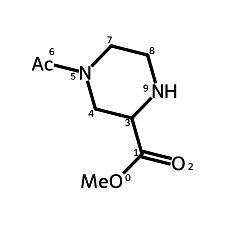 COC(=O)C1CN(C(C)=O)CCN1